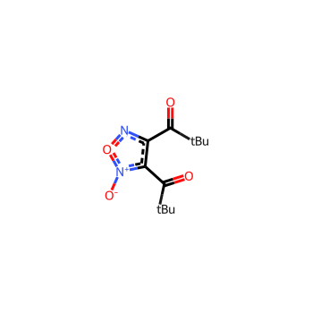 CC(C)(C)C(=O)c1no[n+]([O-])c1C(=O)C(C)(C)C